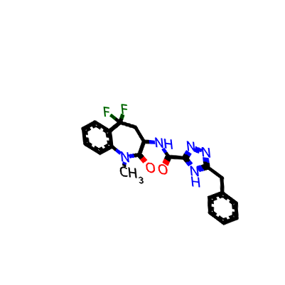 CN1C(=O)C(NC(=O)c2nnc(Cc3ccccc3)[nH]2)CC(F)(F)c2ccccc21